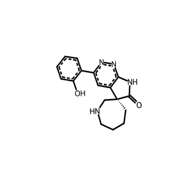 O=C1Nc2nnc(-c3ccccc3O)cc2[C@@]12CCCCNC2